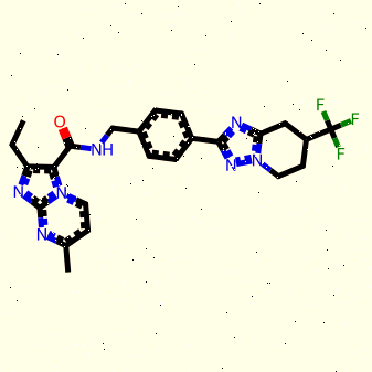 CCc1nc2nc(C)ccn2c1C(=O)NCc1ccc(-c2nc3n(n2)CCC(C(F)(F)F)C3)cc1